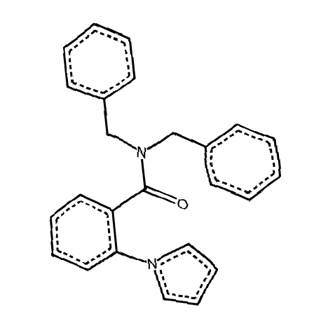 O=C(c1ccccc1-n1cccc1)N(Cc1ccccc1)Cc1ccccc1